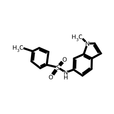 Cc1ccc(S(=O)(=O)Nc2ccc3ccn(C)c3c2)cc1